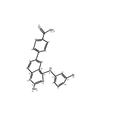 NC(=O)c1ccc(-c2ccc3nc(N)nc(Nc4cccc(Br)c4)c3c2)cc1